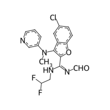 CN(c1cccnc1)c1c(/C(=N\C=O)NCC(F)F)oc2ccc(Cl)cc12